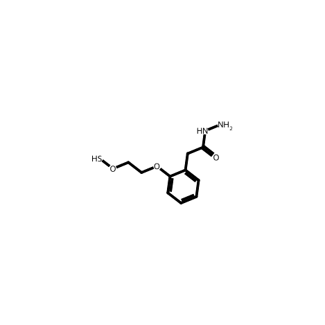 NNC(=O)Cc1ccccc1OCCOS